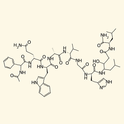 CC(=O)NC(C(=O)N[C@H](CCC(N)=O)C(=O)N[C@H](Cc1c[nH]c2ccccc12)C(=O)N[C@H](C)C(=O)N[C@@H](C(=O)NCC(=O)N[C@H](Cc1c[nH]cn1)C(=O)NC(CC(C)C)C(O)CC(=O)N[C@H](CC(C)C)C(N)=O)C(C)C)c1ccccc1